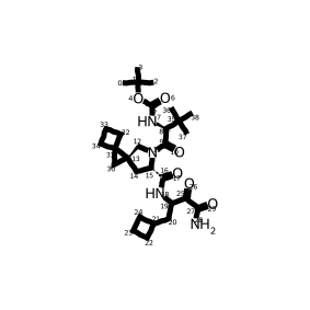 CC(C)(C)OC(=O)N[C@H](C(=O)N1C[C@@]2(C[C@H]1C(=O)NC(CC1CCC1)C(=O)C(N)=O)CC21CCC1)C(C)(C)C